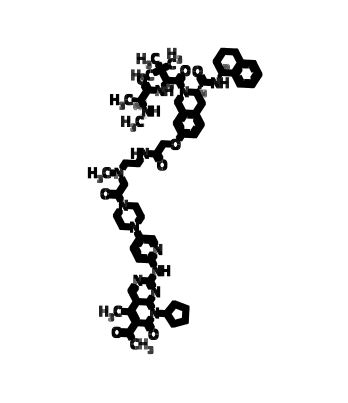 CN[C@@H](C)C(=O)N[C@H](C(=O)N1Cc2cc(OCC(=O)NCCN(C)CC(=O)N3CCN(c4ccc(NC5=NC6C(C=N5)C(C)=C(C(C)=O)C(=O)N6C5CCCC5)nc4)CC3)ccc2C[C@H]1C(=O)N[C@@H]1CCCc2ccccc21)C(C)(C)C